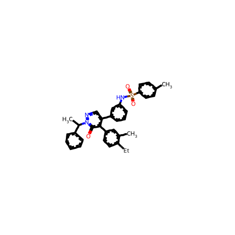 CCc1ccc(-c2c(-c3cccc(NS(=O)(=O)c4ccc(C)cc4)c3)cnn(C(C)c3ccccc3)c2=O)cc1C